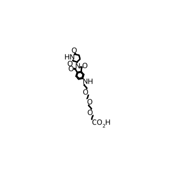 O=C(O)CCOCCOCCOCCNc1ccc2c(c1)C(=O)N(C1CCC(=O)NC1=O)C2=O